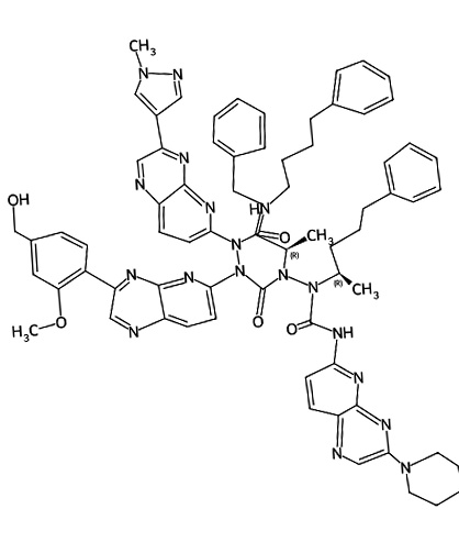 COc1cc(CO)ccc1-c1cnc2ccc(N(C(=O)N([C@H](C)CCCc3ccccc3)N(C(=O)Nc3ccc4ncc(N5CCCCC5)nc4n3)[C@H](C)CCCc3ccccc3)N(C(=O)NCCCCc3ccccc3)c3ccc4ncc(-c5cnn(C)c5)nc4n3)nc2n1